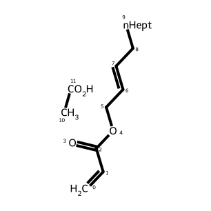 C=CC(=O)OCC=CCCCCCCCC.CC(=O)O